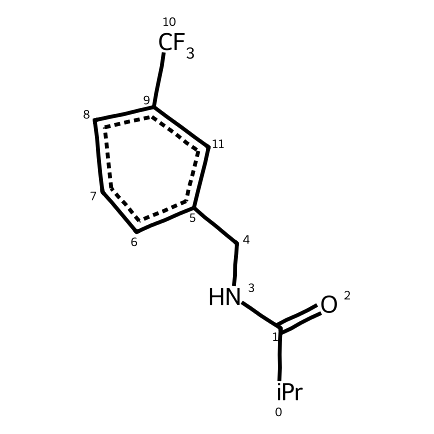 CC(C)C(=O)NCc1cccc(C(F)(F)F)c1